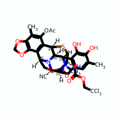 CC(=O)Oc1c(C)c2c(c3c1[C@H]1SC[C@H](NC(=O)OCC(Cl)(Cl)Cl)C(=O)OC[C@@H]3N3[C@@H]1[C@@H]1c4c(cc(C)c(O)c4O)C[C@@H]([C@@H]3C#N)N1C)OCO2